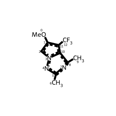 COc1cn2nc(C)nc(C)c2c1C(F)(F)F